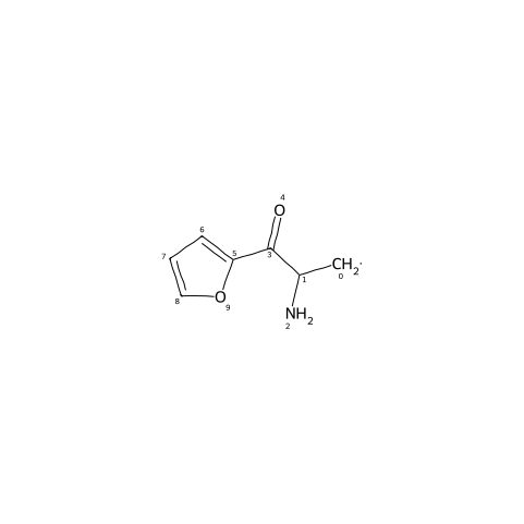 [CH2]C(N)C(=O)c1ccco1